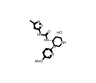 COc1ccc([C@@H]2CNCC[C@H]2NC(=O)Nc2cc(C)ns2)nc1.Cl